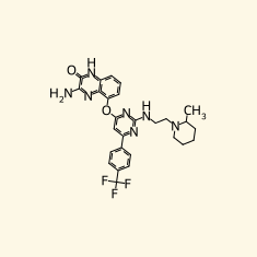 CC1CCCCN1CCNc1nc(Oc2cccc3[nH]c(=O)c(N)nc23)cc(-c2ccc(C(F)(F)F)cc2)n1